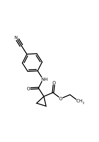 CCOC(=O)C1(C(=O)Nc2ccc(C#N)cc2)CC1